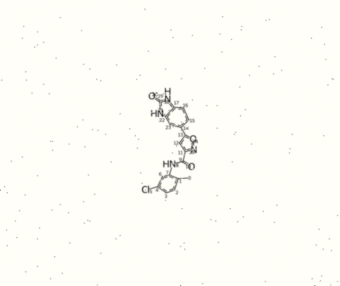 Cc1ccc(Cl)cc1NC(=O)c1cc(-c2ccc3[nH]c(=O)[nH]c3c2)on1